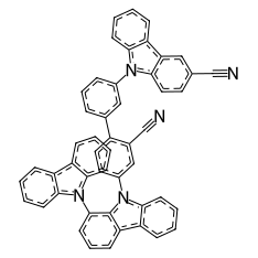 N#Cc1ccc2c(c1)c1ccccc1n2-c1cccc(-c2ccc(-n3c4ccccc4c4cccc(-n5c6ccccc6c6ccccc65)c43)cc2C#N)c1